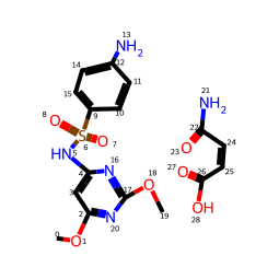 COc1cc(NS(=O)(=O)c2ccc(N)cc2)nc(OC)n1.NC(=O)/C=C\C(=O)O